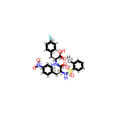 Cc1ccccc1S(=O)(=O)N[C@@H](Cc1ccc([N+](=O)[O-])cc1)C(=O)N[C@@H](Cc1ccc(F)cc1)C(=O)O